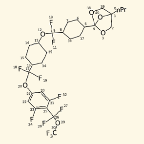 CCCC12COC(C3CCC(C(F)(F)OC4CCC(C(F)(F)Oc5cc(F)c(C(F)(F)OC(F)(F)F)c(F)c5)CC4)CC3)(OC1)O2